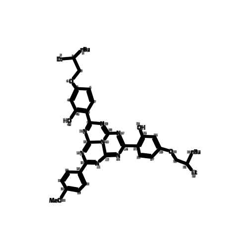 CCCCC(CC)COc1ccc(C2=NC3=NC(c4ccc(OC)cc4)=NC4=NC(c5ccc(OCC(CC)CCCC)cc5O)=NC(=N2)N34)c(O)c1